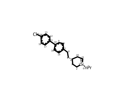 CCC[Si@H]1CC[C@H](CCc2ccc(-c3ccc(Cl)cc3)cc2)CC1